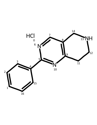 Cl.c1ccc(-c2ncc3c(n2)CCNC3)cc1